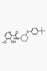 COc1ccnc(C(=O)NC2CCCC(Sc3ccc(C(C)(C)C)cc3)C2)c1O